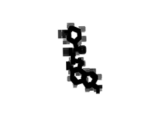 O=C(Nc1nc2ccc3cc(F)ccc3c2s1)C1CCCNC1